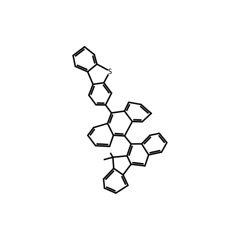 CC1(C)c2ccccc2-c2cc3ccccc3c(-c3c4ccccc4c(-c4ccc5c(c4)sc4ccccc45)c4ccccc34)c21